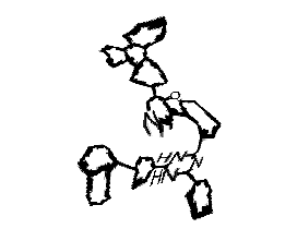 c1ccc(C2N=C(c3cccc4oc5c(-c6ccc7c8ccccc8c8ccccc8c7c6)cncc5c34)NC(c3ccc(-c4cccc5ccccc45)cc3)N2)cc1